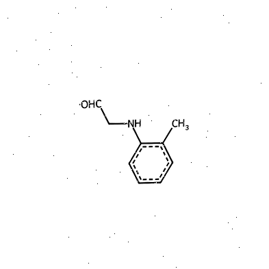 Cc1ccccc1NC[C]=O